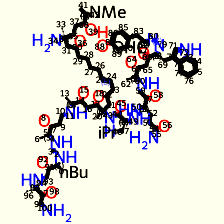 CCCC[C@H](NCN[C@@H](C)C(=O)CCN[C@@H](C)C(=O)CC(=O)[C@](C)(CCC/C=C/CCCCCC[C@@](C)(N)C(=O)CC(=O)[C@H](C)NC)NC(=O)[C@H](CC(C)C)NN[C@@H](CCC(N)=O)C(=O)CN[C@@H](C)C(=O)CC(=O)[C@H](Cc1c[nH]c2ccccc12)/N=N\[C@H](C=O)CC1=CC=C(O)CC1)C(=O)CN[C@@H](C)C(=O)CN